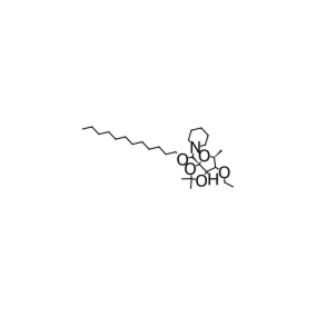 CCCCCCCCCCCCOC(N1CCCCC1)[C@@]12O[C@@H](C)[C@@H](OCC)[C@@H]1OC(C)(C)O2